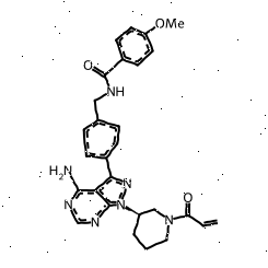 C=CC(=O)N1CCC[C@@H](n2nc(-c3ccc(CNC(=O)c4ccc(OC)cc4)cc3)c3c(N)ncnc32)C1